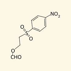 O=COCCS(=O)(=O)c1ccc([N+](=O)[O-])cc1